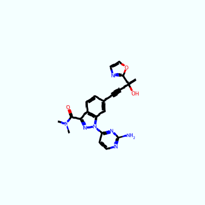 CN(C)C(=O)c1nn(-c2ccnc(N)n2)c2cc(C#CC(C)(O)c3ncco3)ccc12